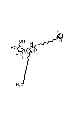 CCCCCCCCCCCCCC[C@@H](O)[C@@H](O)[C@H](COC1OC(CO)C(O)C(O)C1O)NC(=O)CCCCCCCCCC[C@H]1C[C@H]2C=C[C@@H]1C2